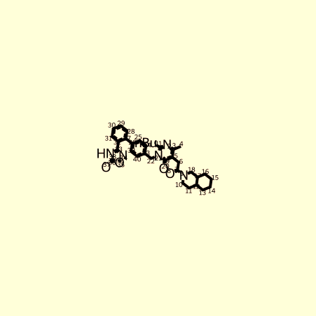 CCCCc1nc(C)c(CC(=O)N2CCC3CCCCC3C2)c(=O)n1Cc1ccc(-c2ccccc2-c2noc(=O)[nH]2)cc1